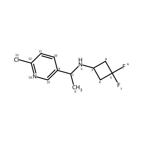 CC(NC1CC(F)(F)C1)c1ccc(Cl)nc1